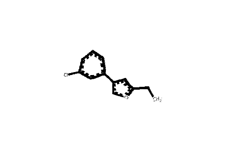 [CH2]Cc1cc(-c2cccc(Cl)c2)co1